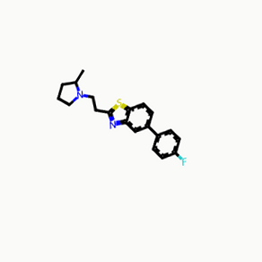 CC1CCCN1CCc1nc2cc(-c3ccc(F)cc3)ccc2s1